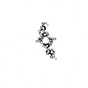 Nc1ccn([C@@H]2O[C@@H]3COP(=O)(O)O[C@H]4C[C@H](n5cnc6c(N)ncnc65)O[C@@H]4COP(=O)(S)O[C@H]3[C@H]2F)c(=O)n1